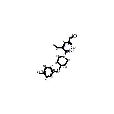 C=C(C=O)/C=C(CC)\C(=N/C)N1CCC(Oc2ccc(C)cc2)CC1